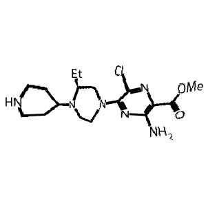 CC[C@H]1CN(c2nc(N)c(C(=O)OC)nc2Cl)CCN1C1CCNCC1